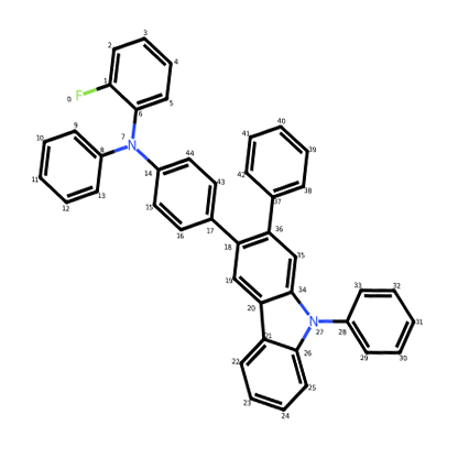 Fc1ccccc1N(c1ccccc1)c1ccc(-c2cc3c4ccccc4n(-c4ccccc4)c3cc2-c2ccccc2)cc1